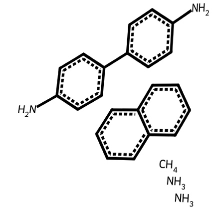 C.N.N.Nc1ccc(-c2ccc(N)cc2)cc1.c1ccc2ccccc2c1